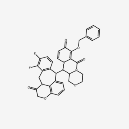 O=C1COc2cccc3c2N1Cc1c(ccc(F)c1F)C3N1C2COCCN2C(=O)c2c(OCc3ccccc3)c(=O)ccn21